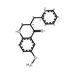 COc1ccc2c(c1)C(=O)C(Cc1ccccn1)CO2